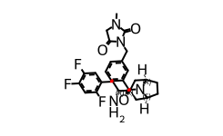 CN1CC(=O)N(Cc2cccc(C(=O)N3[C@@H]4CC[C@H]3C[C@@H]([C@H](N)Cc3cc(F)c(F)cc3F)C4)c2)C1=O